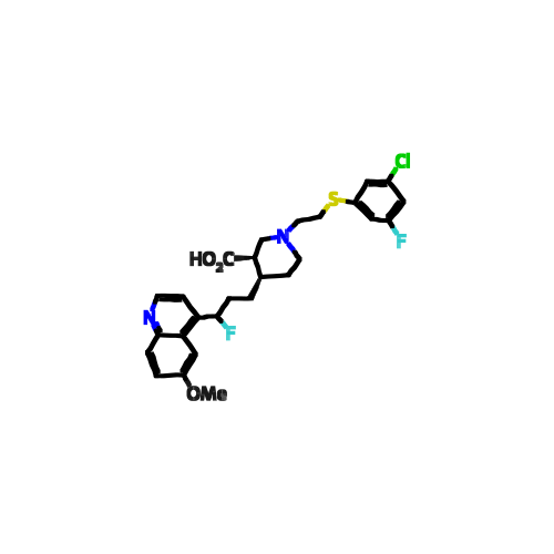 COc1ccc2nccc(C(F)CC[C@@H]3CCN(CCSc4cc(F)cc(Cl)c4)C[C@@H]3C(=O)O)c2c1